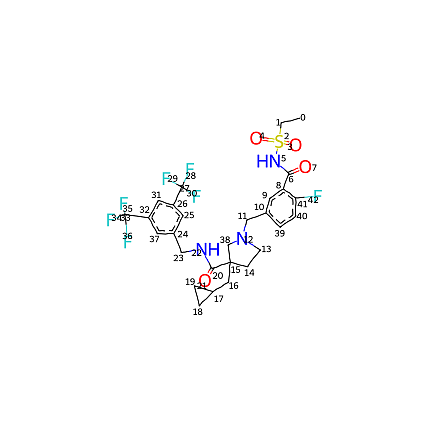 CCS(=O)(=O)NC(=O)c1cc(CN2CCC(CC3CC3)(C(=O)NCc3cc(C(F)(F)F)cc(C(F)(F)F)c3)C2)ccc1F